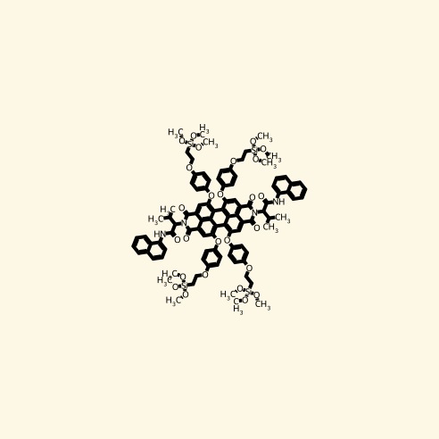 CO[Si](CCOc1ccc(Oc2cc3c4c(cc(Oc5ccc(OCC[Si](OC)(OC)OC)cc5)c5c6c(Oc7ccc(OCC[Si](OC)(OC)OC)cc7)cc7c8c(cc(Oc9ccc(OCC[Si](OC)(OC)OC)cc9)c(c2c45)c86)C(=O)N(C(C(=O)Nc2cccc4ccccc24)C(C)C)C7=O)C(=O)N(C(C(=O)Nc2cccc4ccccc24)C(C)C)C3=O)cc1)(OC)OC